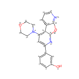 Oc1cccc(-c2cc(N3CCOCC3)c3c(n2)oc2ncccc23)c1